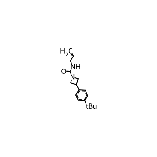 C=CCNC(=O)N1CC(c2ccc(C(C)(C)C)cc2)C1